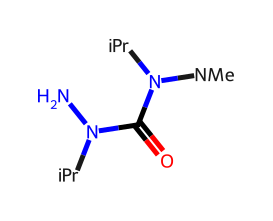 CNN(C(=O)N(N)C(C)C)C(C)C